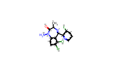 CC1N=C(c2ncccc2F)c2c(ccc(Br)c2Cl)N(N)C1=O